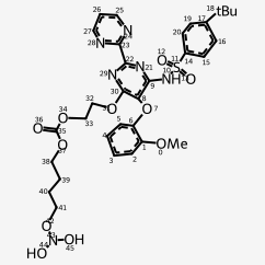 COc1ccccc1Oc1c(NS(=O)(=O)c2ccc(C(C)(C)C)cc2)nc(-c2ncccn2)nc1OCCOC(=O)OCCCCON(O)O